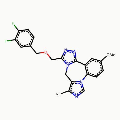 COc1ccc2c(c1)-c1nnc(COCc3ccc(F)c(F)c3)n1Cc1c(C#N)ncn1-2